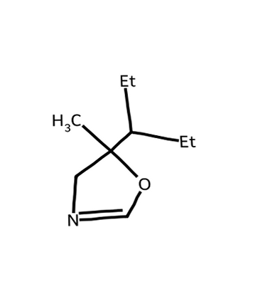 CCC(CC)C1(C)CN=CO1